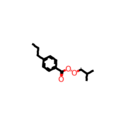 CCCc1ccc(C(=O)OO[CH]C(C)C)cc1